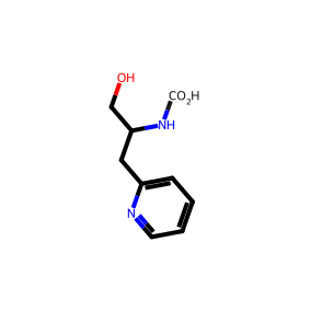 O=C(O)NC(CO)Cc1ccccn1